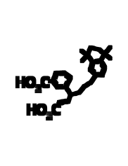 CC1(C)CCC(C)(C)c2cc(CCCC(C=CC(=O)O)c3cccc(C(=O)O)c3)ccc21